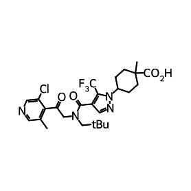 Cc1cncc(Cl)c1C(=O)CN(CC(C)(C)C)C(=O)c1cnn(C2CCC(C)(C(=O)O)CC2)c1C(F)(F)F